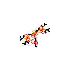 CCOC(=O)CCSP(=S)(OCC(C)SP(=S)(OC(C)CC(C)C)OC(C)CC(C)C)OCC(C)SP(=S)(OC(C)CC(C)C)OC(C)CC(C)C